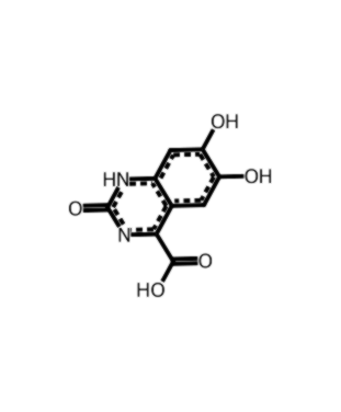 O=C(O)c1nc(=O)[nH]c2cc(O)c(O)cc12